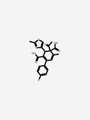 CC(=O)C1(C(=O)O)C(C)=CC(c2ccc(F)cc2)=C(C(=O)O)C1c1csc(C)n1